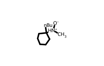 CCCCC1([NH+](C)[O-])CCCCC1